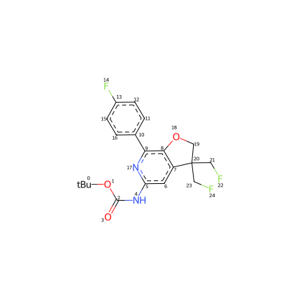 CC(C)(C)OC(=O)Nc1cc2c(c(-c3ccc(F)cc3)n1)OCC2(CF)CF